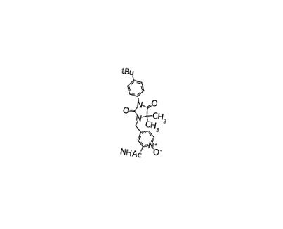 CC(=O)Nc1cc(CN2C(=O)N(c3ccc(C(C)(C)C)cc3)C(=O)C2(C)C)cc[n+]1[O-]